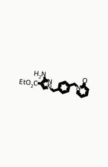 CCOC(=O)c1cn(Cc2ccc(Cn3ccccc3=O)cc2)nc1N